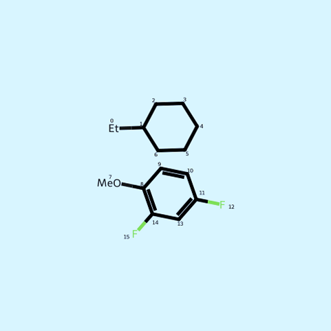 [CH2]CC1CCCCC1.[CH2]Oc1ccc(F)cc1F